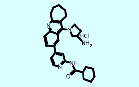 Cl.NC1CCN(c2c3c(nc4ccc(-c5ccnc(NC(=O)C6CCCCC6)c5)cc24)CCCCC3)C1